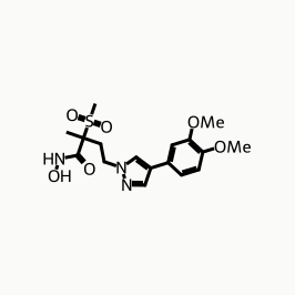 COc1ccc(-c2cnn(CCC(C)(C(=O)NO)S(C)(=O)=O)c2)cc1OC